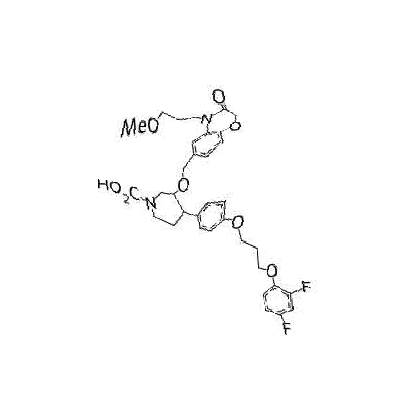 COCCCN1C(=O)COc2ccc(COC3CN(C(=O)O)CCC3c3ccc(OCCCOc4ccc(F)cc4F)cc3)cc21